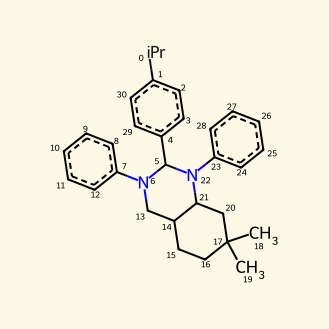 CC(C)c1ccc(C2N(c3ccccc3)CC3CCC(C)(C)CC3N2c2ccccc2)cc1